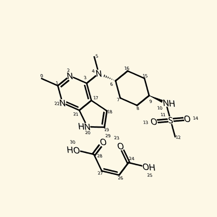 Cc1nc(N(C)[C@H]2CC[C@H](NS(C)(=O)=O)CC2)c2cc[nH]c2n1.O=C(O)/C=C\C(=O)O